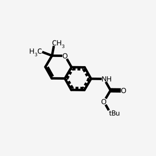 CC(C)(C)OC(=O)Nc1ccc2c(c1)OC(C)(C)C=C2